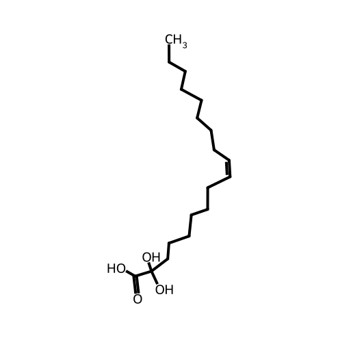 CCCCCCCC/C=C\CCCCCCC(O)(O)C(=O)O